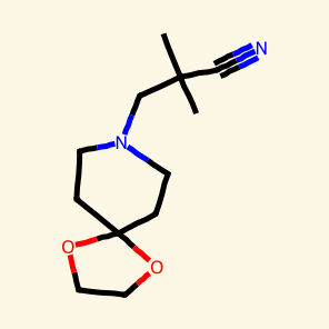 CC(C)(C#N)CN1CCC2(CC1)OCCO2